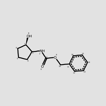 O=C(NC1CCC[C@H]1O)OCc1ccccc1